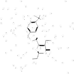 CCc1nc(C(=O)N[C@H](C)c2ccc(C(F)(F)F)cc2)c(CC)c(=O)[nH]1